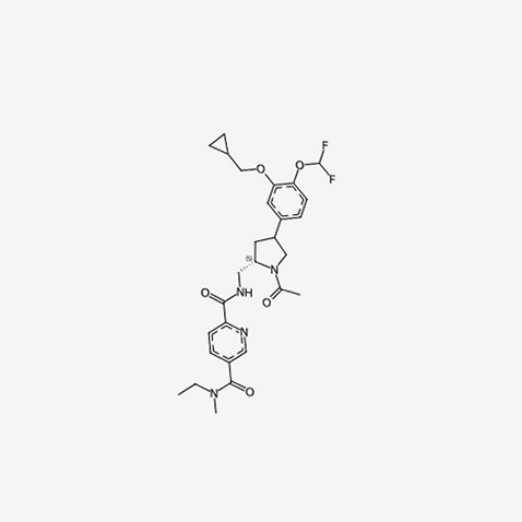 CCN(C)C(=O)c1ccc(C(=O)NC[C@@H]2CC(c3ccc(OC(F)F)c(OCC4CC4)c3)CN2C(C)=O)nc1